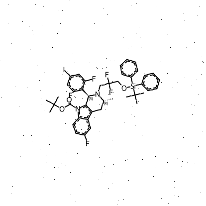 C[C@@H]1Cc2c(n(C(=O)OC(C)(C)C)c3ccc(F)cc23)[C@@H](c2c(F)cc(I)cc2F)N1CC(F)(F)CO[Si](c1ccccc1)(c1ccccc1)C(C)(C)C